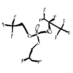 O=P(OCC(F)F)(OCC(F)(F)F)OC(F)(C(F)F)C(F)(F)F